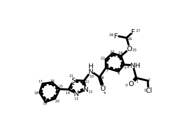 O=C(CCl)Nc1cc(C(=O)Nc2nnc(-c3ccccc3)s2)ccc1OC(F)F